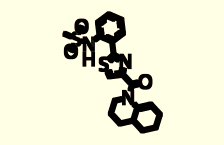 CS(=O)(=O)Nc1ccccc1-c1nc(C(=O)N2CCCC3CCCC=C32)cs1